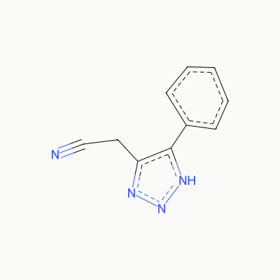 N#CCc1nn[nH]c1-c1ccccc1